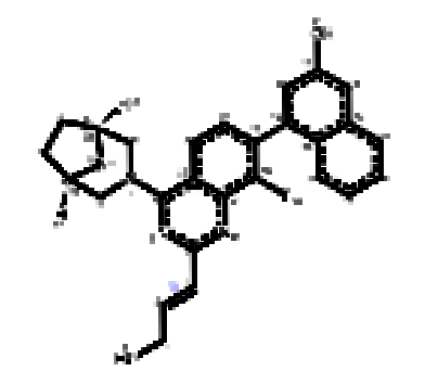 OC/C=C/c1nc(N2C[C@H]3CC[C@@H](C2)N3)c2ccc(-c3cc(O)cc4ccccc34)c(F)c2n1